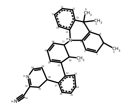 CC1C=CC2=C(C1)C(C)(C)c1ccccc1N2C1C=CC=C(c2ccccc2C2C=CN=C(C#N)C2)C1C